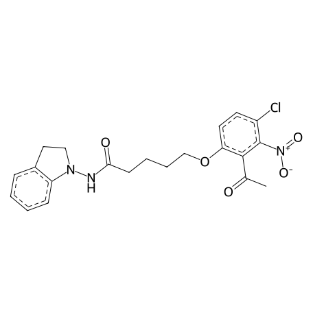 CC(=O)c1c(OCCCCC(=O)NN2CCc3ccccc32)ccc(Cl)c1[N+](=O)[O-]